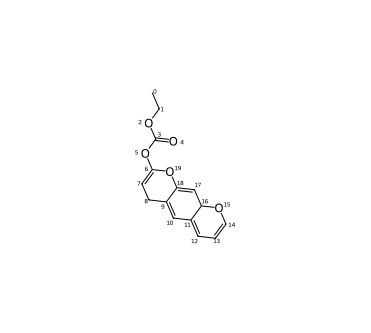 CCOC(=O)OC1=CCC2=CC3=CC=COC3C=C2O1